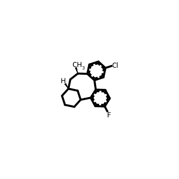 C[C@@H]1C[C@H]2CCCC(C2)c2cc(F)ccc2-c2cc(Cl)ccc21